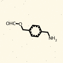 NCc1ccc(COC=O)cc1